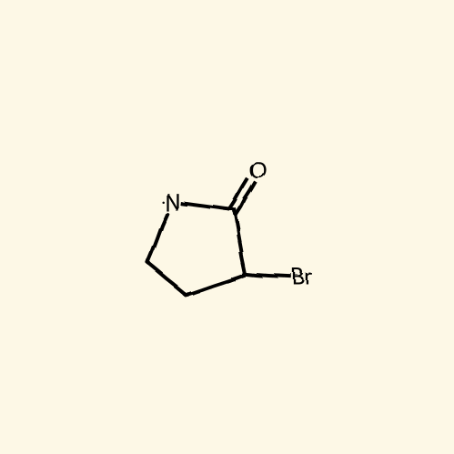 O=C1[N]CCC1Br